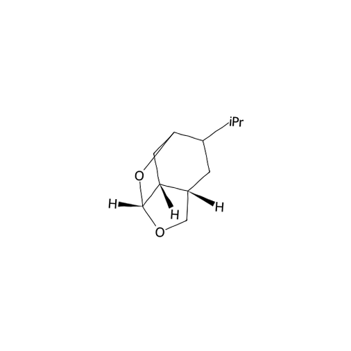 CC(C)C1C[C@@H]2CO[C@@H]3OC1C[C@H]23